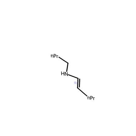 CCC/C=C/NCCCC